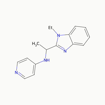 CCn1c(C(C)Nc2ccncc2)nc2ccccc21